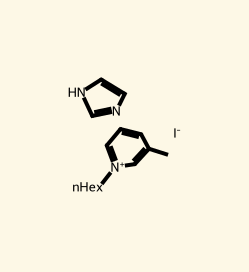 CCCCCC[n+]1cccc(C)c1.[I-].c1c[nH]cn1